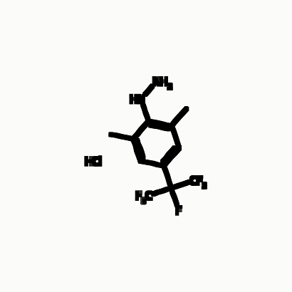 Cc1cc(C(F)(C(F)(F)F)C(F)(F)F)cc(C)c1NN.Cl